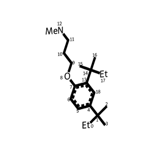 CCC(C)(C)c1ccc(OCCCNC)c(C(C)(C)CC)c1